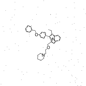 CCc1c(-c2ccc(OCc3ccccc3)cc2)c2c(COCCN3CCCCC3)cc3cccc1n32